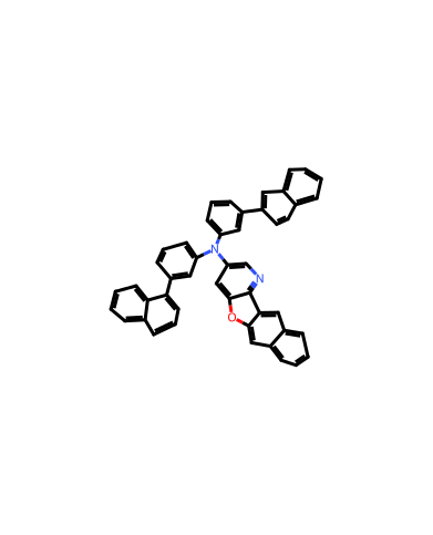 c1cc(-c2ccc3ccccc3c2)cc(N(c2cccc(-c3cccc4ccccc34)c2)c2cnc3c(c2)oc2cc4ccccc4cc23)c1